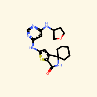 O=C1NC2(CCCCC2)c2cc(Nc3cc(NC4CCOC4)ncn3)sc21